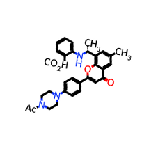 CC(=O)N1CCN(c2ccc(-c3cc(=O)c4cc(C)cc([C@@H](C)Nc5ccccc5C(=O)O)c4o3)cc2)CC1